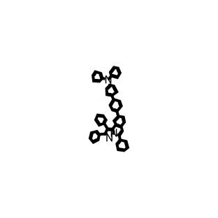 c1ccc(-c2nn3c(-c4ccccc4)cc4ccc(-c5ccc(-c6ccc(N(c7ccccc7)c7ccccc7)cc6)cc5)cc4c3c2-c2ccccc2)cc1